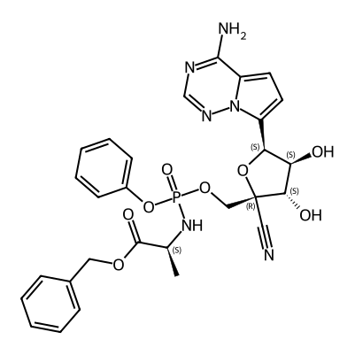 C[C@H](NP(=O)(OC[C@@]1(C#N)O[C@@H](c2ccc3c(N)ncnn23)[C@@H](O)[C@@H]1O)Oc1ccccc1)C(=O)OCc1ccccc1